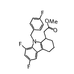 COC(=O)CC1CCCc2c1n(Cc1ccc(F)cc1)c1c(F)cc(F)cc21